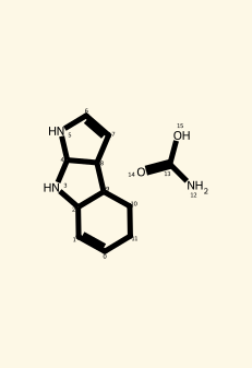 C1=CC2NC3NC=CC3C2CC1.NC(=O)O